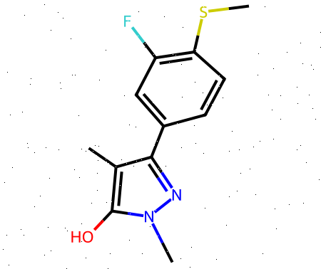 CSc1ccc(-c2nn(C)c(O)c2C)cc1F